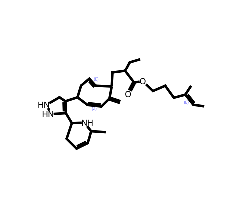 C=C1/C=C\C(C2=C(C3CC=CC(C)N3)NNC2)C/C=C/C1CC(CC)C(=O)OCCC/C(C)=C/C